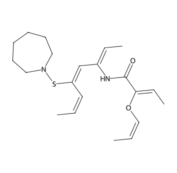 C/C=C\O/C(=C\C)C(=O)NC(=C\C)/C=C(\C=C/C)SN1CCCCCC1